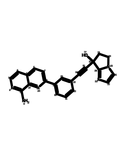 Nc1nccc2ccc(-c3cccc(C#CC4(O)CCn5ccnc54)c3)nc12